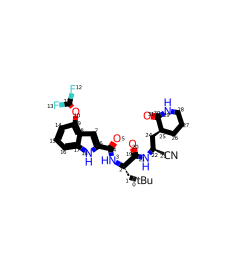 CC(C)(C)C[C@H](NC(=O)c1cc2c(OC(F)F)cccc2[nH]1)C(=O)N[C@H](C#N)C[C@@H]1CCCNC1=O